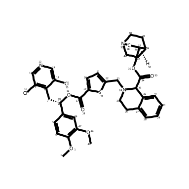 COc1ccc([C@H](Cc2c(Cl)cncc2Cl)OC(=O)c2ccc(CN3CCc4ccccc4C3C(=O)O[C@H]3CN4CCC3CC4)s2)cc1OC